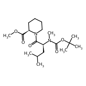 COC(=O)[C@H]1CCCCN1C(=O)[C@H](CC(C)C)N(C)C(=O)OC(C)(C)C